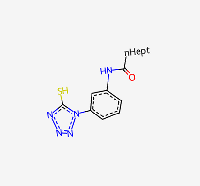 CCCCCCCC(=O)Nc1cccc(-n2nnnc2S)c1